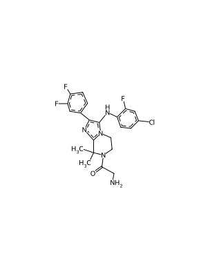 CC1(C)c2nc(-c3ccc(F)c(F)c3)c(Nc3ccc(Cl)cc3F)n2CCN1C(=O)CN